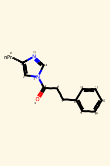 CCCc1cn(C(=O)CCc2ccccc2)cn1